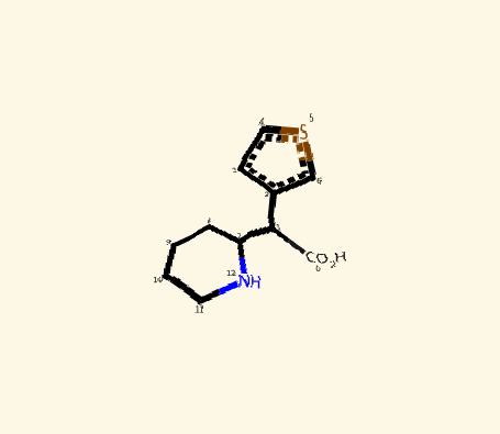 O=C(O)C(c1ccsc1)C1CCCCN1